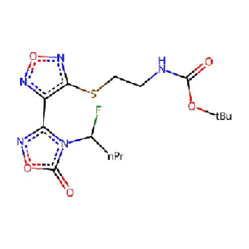 CCCC(F)n1c(-c2nonc2SCCNC(=O)OC(C)(C)C)noc1=O